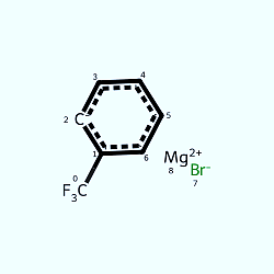 FC(F)(F)c1[c-]cccc1.[Br-].[Mg+2]